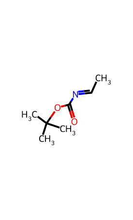 C/C=N/C(=O)OC(C)(C)C